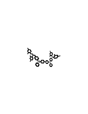 Cc1ccc(CCC(Cc2ccc(N(c3ccccc3)c3ccc(-c4ccc(N(c5ccccc5)c5ccc(N(c6ccc(C)cc6C)c6ccc(C)cc6C)cc5)cc4)cc3)cc2)c2ccc(C)cc2C)c(C)c1